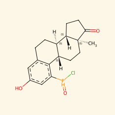 C[C@]12CC[C@@H]3c4c(cc(O)cc4[PH](=O)Cl)CC[C@H]3[C@@H]1CCC2=O